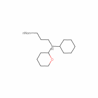 CCCCCCCCCCCC[SiH](C1CCCCC1)C1CCCCO1